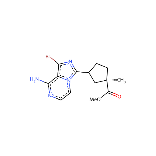 COC(=O)[C@]1(C)CCC(c2nc(Br)c3c(N)nccn23)C1